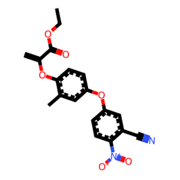 C=C(Oc1ccc(Oc2ccc([N+](=O)[O-])c(C#N)c2)cc1C)C(=O)OCC